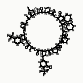 CC[C@H](C)[C@@H]1NC(=O)[C@H](CC)N(C)C(=O)C[C@@H](C(=O)N2CCOCC2)N(C)C(=O)[C@H](C2CCCCC2)N(C)C(=O)C2(CCCC2)NC(=O)[C@@H]2CCCN2C(=O)[C@H](CCc2ccc(C(F)(F)F)c(Cl)c2)NC(=O)CN(C)C(=O)[C@H](Cc2ccc(C(F)(F)F)cc2)N(C)C(=O)CN(C)C(=O)CN(C)C1=O